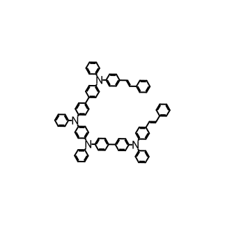 C(=Cc1ccc(N(c2ccccc2)c2ccc(-c3ccc(N(c4ccccc4)c4ccc(N(c5ccccc5)c5ccc(-c6ccc(N(c7ccccc7)c7ccc(C=Cc8ccccc8)cc7)cc6)cc5)cc4)cc3)cc2)cc1)c1ccccc1